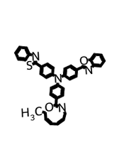 CC1/C=C\C=C/C/N=C(/c2ccc(N(c3ccc(-c4nc5ccccc5o4)cc3)c3ccc(-c4nc5ccccc5s4)cc3)cc2)O1